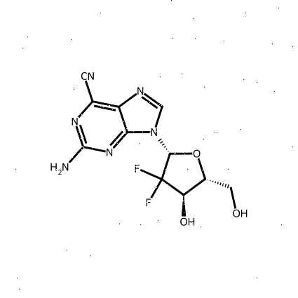 N#Cc1nc(N)nc2c1ncn2[C@@H]1O[C@H](CO)[C@@H](O)C1(F)F